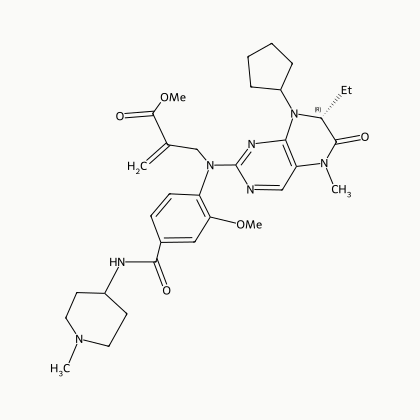 C=C(CN(c1ncc2c(n1)N(C1CCCC1)[C@H](CC)C(=O)N2C)c1ccc(C(=O)NC2CCN(C)CC2)cc1OC)C(=O)OC